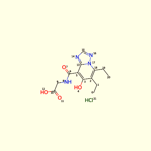 CCc1c(O)c(C(=O)NCC(=O)O)c2ncnn2c1CC.Cl